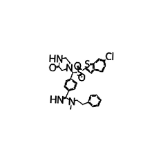 CN(CCc1ccccc1)C(=N)c1ccc(C(N2CCNC(=O)C2)S(=O)(=O)c2cc3ccc(Cl)cc3s2)cc1